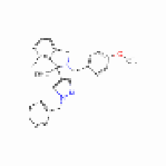 Cc1cccc2c1C(C=O)(c1cnn(Cc3ccccc3)c1)N(Cc1ccc(OC(F)(F)F)cc1)C2